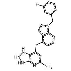 Nc1cc(Cc2cccc3c2ccn3Cc2cccc(F)c2)c2c(n1)NNN2